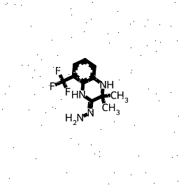 CC1(C)Nc2cccc(C(F)(F)F)c2NC1=NN